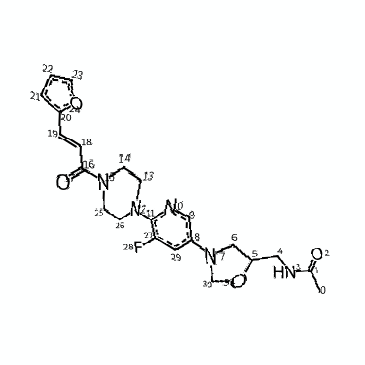 CC(=O)NCC1CN(c2cnc(N3CCN(C(=O)C=Cc4ccco4)CC3)c(F)c2)CO1